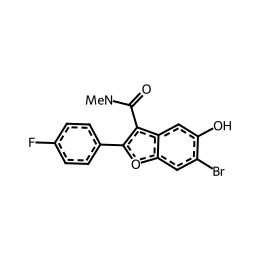 CNC(=O)c1c(-c2ccc(F)cc2)oc2cc(Br)c(O)cc12